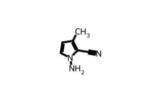 Cc1ccn(N)c1C#N